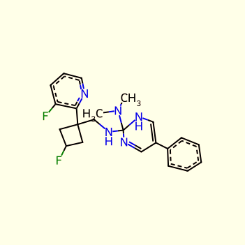 CN(C)C1(NCC2(c3ncccc3F)CC(F)C2)N=CC(c2ccccc2)=CN1